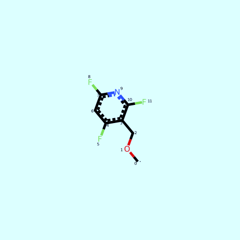 [CH2]OCc1c(F)cc(F)nc1F